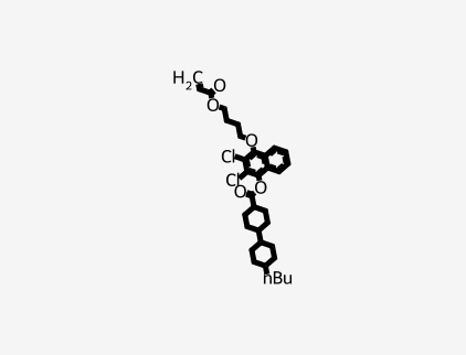 C=CC(=O)OCCCCOc1c(Cl)c(Cl)c(OC(=O)C2CCC(C3CCC(CCCC)CC3)CC2)c2ccccc12